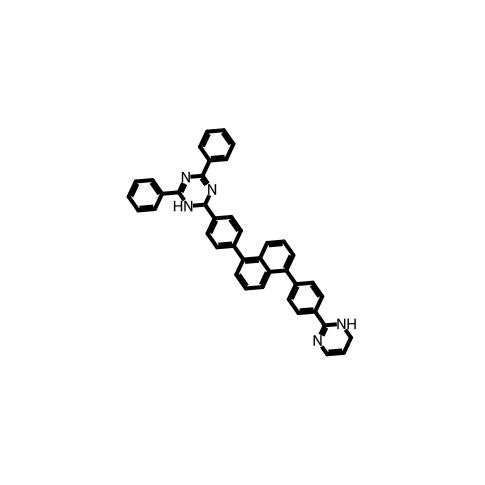 C1=CN=C(c2ccc(-c3cccc4c(-c5ccc(C6N=C(c7ccccc7)N=C(c7ccccc7)N6)cc5)cccc34)cc2)NC1